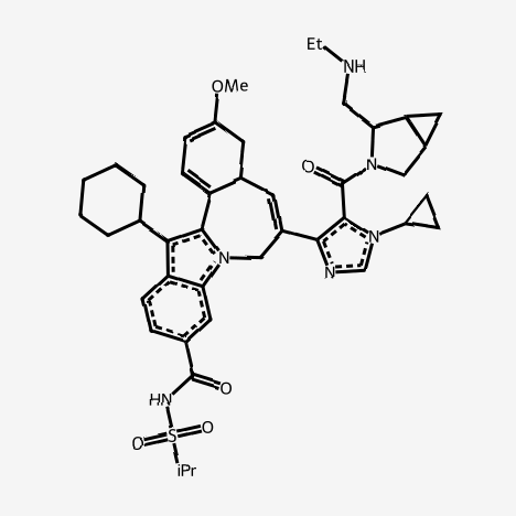 CCNCC1C2CC2CN1C(=O)c1c(C2=CC3CC(OC)=CC=C3c3c(C4CCCCC4)c4ccc(C(=O)NS(=O)(=O)C(C)C)cc4n3C2)ncn1C1CC1